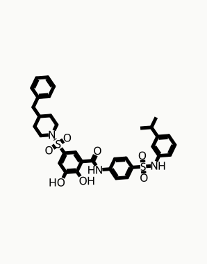 CC(C)c1cccc(NS(=O)(=O)c2ccc(NC(=O)c3cc(S(=O)(=O)N4CCC(Cc5ccccc5)CC4)cc(O)c3O)cc2)c1